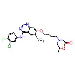 CC1CN(CCCCOc2cc3ncnc(Nc4ccc(F)c(Cl)c4)c3cc2[N+](=O)[O-])CC(=O)O1